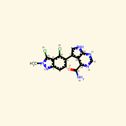 Cn1nc2ccc(-c3c[nH]c4ncnc(C(N)=O)c34)c(Cl)c2c1Cl